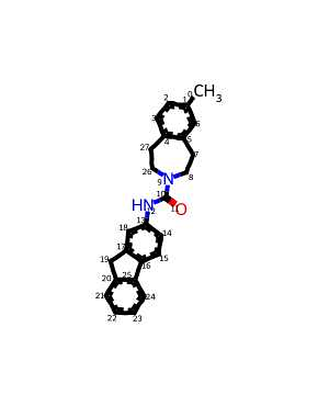 Cc1ccc2c(c1)CCN(C(=O)Nc1ccc3c(c1)Cc1ccccc1-3)CC2